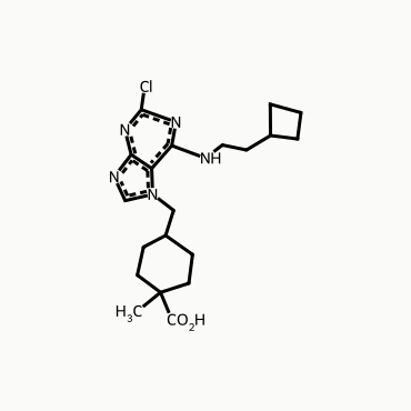 CC1(C(=O)O)CCC(Cn2cnc3nc(Cl)nc(NCCC4CCC4)c32)CC1